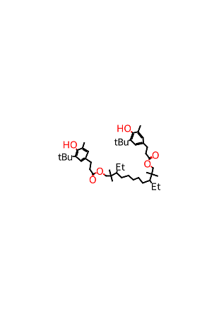 CCC(CCCCCC(CC)C(C)(C)COC(=O)CCc1cc(C)c(O)c(C(C)(C)C)c1)C(C)(C)COC(=O)CCc1cc(C)c(O)c(C(C)(C)C)c1